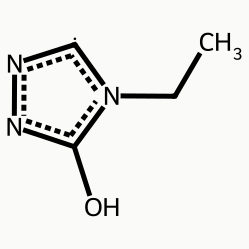 CCn1[c]nnc1O